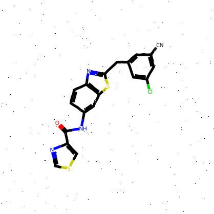 N#Cc1cc(Cl)cc(Cc2nc3ccc(NC(=O)c4cscn4)cc3s2)c1